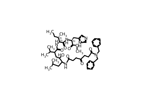 CC[C@H](C)[C@H](NC(=O)C(CC(O)C(CC(C)C)NC(=O)CCC(=O)CCC(=O)N(Cc1ccccc1)Cc1ccccc1)C(C)C)C(=O)N[C@@H](Cc1cnc[nH]1)C(=O)OC